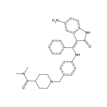 CN(C)C(=O)C1CCN(Cc2ccc(N/C(=C3\C(=O)Nc4ccc([N+](=O)[O-])cc43)c3ccccc3)cc2)CC1